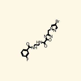 O=C(NCCNC(=O)c1nc(Cn2cc(Br)cn2)no1)c1cccc(F)c1